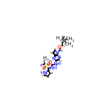 CC(I)S(=O)(=O)C(NC(=O)Nc1cnc2c(ccn2COCC[Si](C)(C)C)n1)C1CCCN1